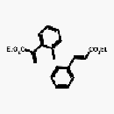 C=C(C(=O)OCC)c1ccccc1C.CCOC(=O)C=Cc1ccccc1